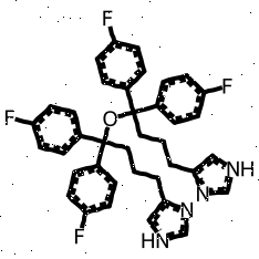 Fc1ccc(C(CCCc2c[nH]cn2)(OC(CCCc2c[nH]cn2)(c2ccc(F)cc2)c2ccc(F)cc2)c2ccc(F)cc2)cc1